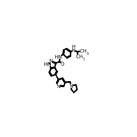 CC(C)Nc1ccc(NC(=O)c2n[nH]c3ccc(-c4cncc(CN5CCCC5)c4)cc23)cc1